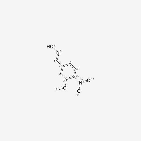 COc1cc(/C=N/O)ccc1[N+](=O)[O-]